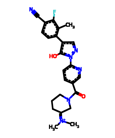 Cc1c(-c2cnn(-c3ccc(C(=O)N4CCCC(=[N+](C)C)C4)cn3)c2O)ccc(C#N)c1F